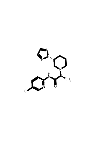 C[C@@H](C(=O)Nc1ccc(Cl)cn1)N1CCC[C@@H](n2nccn2)C1